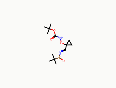 CC(C)(C)OC(=O)NOC1(/C=N/[S+]([O-])C(C)(C)C)CC1